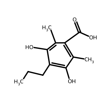 CCCc1c(O)c(C)c(C(=O)O)c(C)c1O